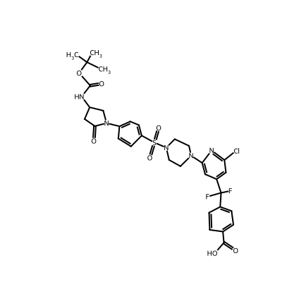 CC(C)(C)OC(=O)NC1CC(=O)N(c2ccc(S(=O)(=O)N3CCN(c4cc(C(F)(F)c5ccc(C(=O)O)cc5)cc(Cl)n4)CC3)cc2)C1